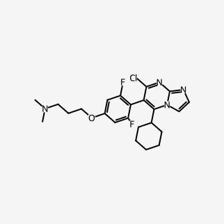 CN(C)CCCOc1cc(F)c(-c2c(Cl)nc3nccn3c2C2CCCCC2)c(F)c1